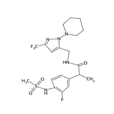 CC(C(=O)NCc1cc(C(F)(F)F)nn1N1CCCCC1)c1ccc(NS(C)(=O)=O)c(F)c1